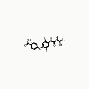 CCC(CC)NC(=O)Nc1cc(F)c(Oc2ccc(C(N)=O)cc2)cc1F